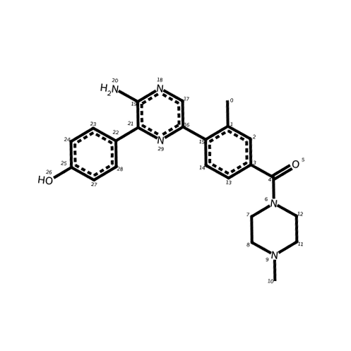 Cc1cc(C(=O)N2CCN(C)CC2)ccc1-c1cnc(N)c(-c2ccc(O)cc2)n1